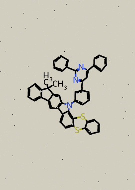 CC1(C)c2ccccc2-c2cc3c4ccc5c(c4n(-c4cccc(-c6cc(-c7ccccc7)nc(-c7ccccc7)n6)c4)c3cc21)Sc1ccccc1S5